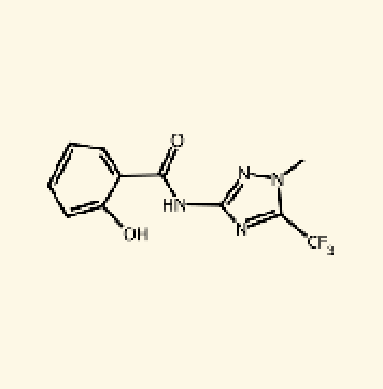 Cn1nc(NC(=O)c2ccccc2O)nc1C(F)(F)F